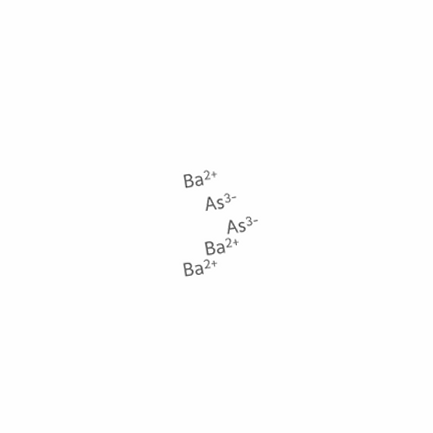 [As-3].[As-3].[Ba+2].[Ba+2].[Ba+2]